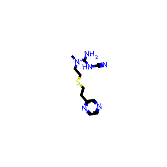 C[N+](CCSCCc1cnccn1)=C(N)NC#N